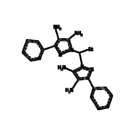 CCC(n1nc(-c2ccccc2)c(N)c1N)n1nc(-c2ccccc2)c(N)c1N